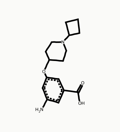 Nc1cc(OC2CCN(C3CCC3)CC2)cc(C(=O)O)c1